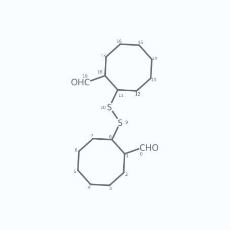 O=CC1CCCCCCC1SSC1CCCCCCC1C=O